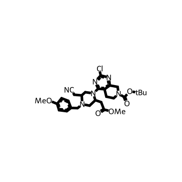 COC(=O)CC1CN(Cc2ccc(OC)cc2)C(CC#N)CN1c1nc(Cl)nc2c1CCN(C(=O)OC(C)(C)C)C2